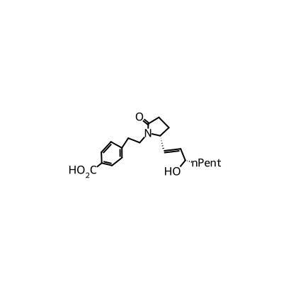 CCCCC[C@H](O)C=C[C@H]1CCC(=O)N1CCc1ccc(C(=O)O)cc1